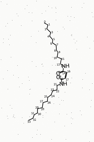 CCCCCCCCCCCCCNC(=O)/C=C\C(=O)NCCCCCCCCCCCCC